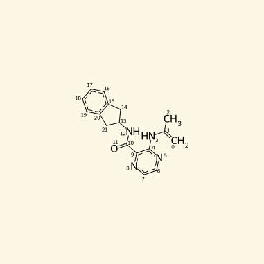 C=C(C)Nc1nccnc1C(=O)NC1Cc2ccccc2C1